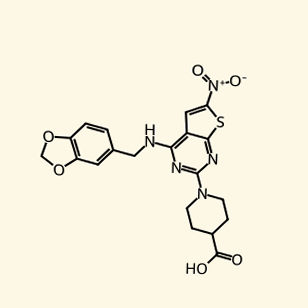 O=C(O)C1CCN(c2nc(NCc3ccc4c(c3)OCO4)c3cc([N+](=O)[O-])sc3n2)CC1